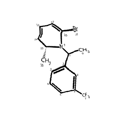 CC(c1cccc(C(F)(F)F)c1)N1C(Br)=CC=C[C@H]1C